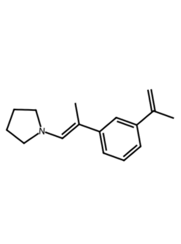 C=C(C)c1cccc(C(C)=CN2CCCC2)c1